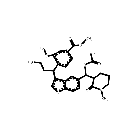 CCCC(c1ccc(C(=O)OC)cc1OC)c1c[nH]c2ccc(C(OC(C)=O)C3CCCN(C)C3=O)cc12